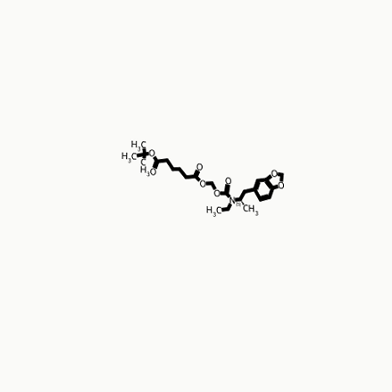 CCN(C(=O)OCOC(=O)CCCCC(=O)OC(C)(C)C)[C@@H](C)Cc1ccc2c(c1)OCO2